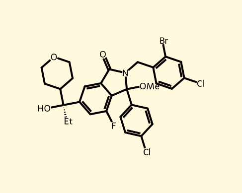 CC[C@@](O)(c1cc(F)c2c(c1)C(=O)N(Cc1ccc(Cl)cc1Br)C2(OC)c1ccc(Cl)cc1)C1CCOCC1